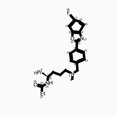 CCC[C@@H](CCCN(C)Cc1ccc(-c2nc3ccc(F)cc3o2)cc1)NC(=O)CC